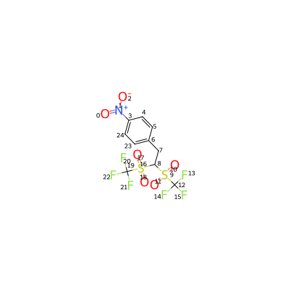 O=[N+]([O-])c1ccc(CC(S(=O)(=O)C(F)(F)F)S(=O)(=O)C(F)(F)F)cc1